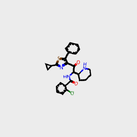 O=C(NC(C(=O)c1nc(C2CC2)sc1-c1ccccc1)C1CCCCN1)c1ccccc1Cl